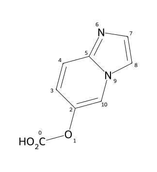 O=C(O)Oc1ccc2nccn2c1